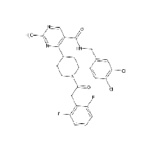 Cc1ncc(C(=O)NCc2ccc(Cl)c(Cl)c2)c(C2CCN(C(=O)Cc3c(F)cccc3F)CC2)n1